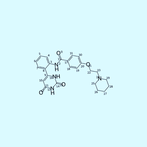 O=C(Nc1ccccc1-c1cc(=O)[nH]c(=O)[nH]1)c1ccc(OCCN2CCCCC2)cc1